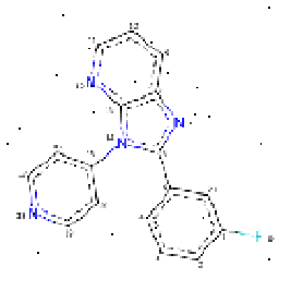 Fc1cccc(-c2nc3cccnc3n2-c2ccncc2)c1